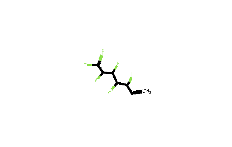 C=CC(F)C(F)C(F)C(F)C(F)F